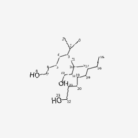 CC(C)CCCCCO.CC(C)CCO.CCCCCCCCO